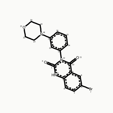 O=c1[nH]c2ccc(Br)cc2c(=O)n1-c1cccc(N2CCOCC2)c1